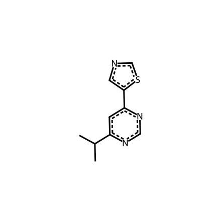 CC(C)c1cc(-c2cncs2)ncn1